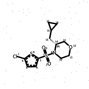 O=S(=O)(c1ccc(Cl)s1)N1CCOC[C@H]1CC1CC1